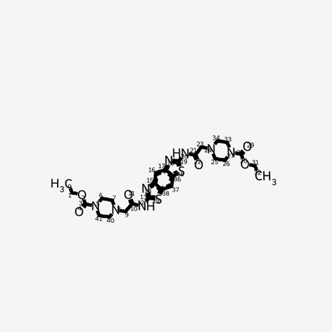 CCOC(=O)N1CCN(CC(=O)Nc2nc3cc4nc(NC(=O)CN5CCN(C(=O)OCC)CC5)sc4cc3s2)CC1